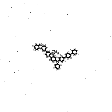 CC1(C)c2cc(-c3ccc4oc5ccccc5c4c3)ccc2-c2ccc(N(c3ccccc3)c3ccc(-c4ccc(-c5ccccc5)cc4)cc3)cc21